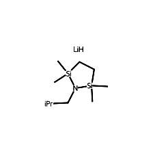 [CH2]C(C)CN1[Si](C)(C)CC[Si]1(C)C.[LiH]